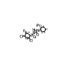 CC(C)c1ccccc1NC(=O)NC(=O)c1cc(F)c(Cl)nc1Cl